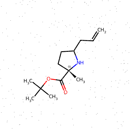 C=CCC1CC[C@@](C)(C(=O)OC(C)(C)C)N1